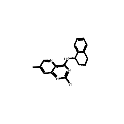 Cc1cnc2c(NC3CCCc4ccccc43)nc(Cl)nc2c1